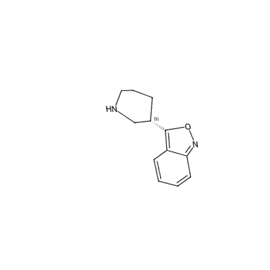 c1ccc2c([C@H]3CCCNC3)onc2c1